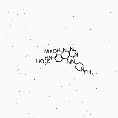 COc1cc(-c2nn(C3CCN(C)CC3)c3ncnc(N)c23)ccc1NC(=O)O